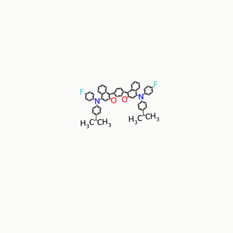 CC(C)c1ccc(N(c2ccc(F)cc2)c2cc3oc4c(ccc5c4oc4cc(N(c6ccc(F)cc6)c6ccc(C(C)C)cc6)c6ccccc6c45)c3c3ccccc23)cc1